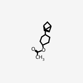 CC(=O)OC1CCC(C2C3C=CC2C3)CC1